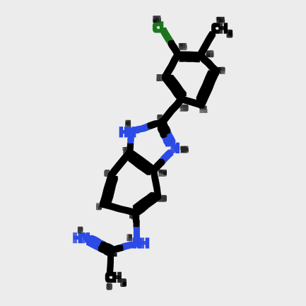 CC(=N)Nc1ccc2[nH]c(-c3ccc(C)c(Cl)c3)nc2c1